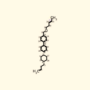 C=CCC[C@H]1CC[C@H](c2ccc(-c3ccc(COCC/C=C/C)cc3)cc2)CC1